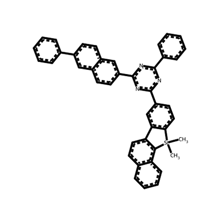 C[Si]1(C)c2ccc(-c3nc(-c4ccccc4)nc(-c4ccc5cc(-c6ccccc6)ccc5c4)n3)cc2-c2ccc3ccccc3c21